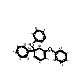 C1=CC(Oc2ccccc2)(c2ccccc2)CC(Oc2ccccc2)=C1